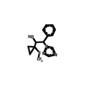 OC(C(c1ccccc1)n1cncn1)C1(SC(F)(F)F)CC1